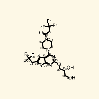 O=C(CC(F)(F)F)N1CCN(c2nc(OC[C@H](O)CO)nc3sc(CC(F)(F)F)cc23)CC1